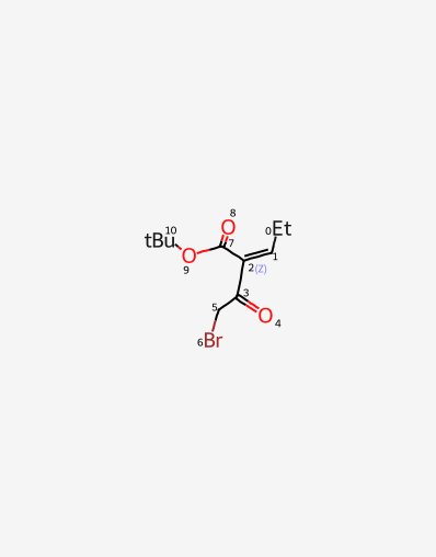 CC/C=C(/C(=O)CBr)C(=O)OC(C)(C)C